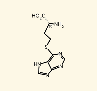 N[C@H](CCSc1ncnc2nc[nH]c12)C(=O)O